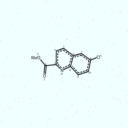 COC(=O)c1ccc2cc(Cl)ccc2n1